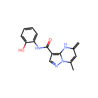 C=C1C=C(C)n2ncc(C(=O)Nc3ccccc3O)c2N1